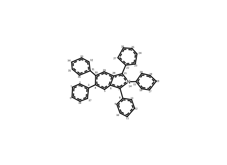 c1ccc(-c2cc3c(-c4ccccc4)n(-c4ccccc4)c(-c4ccccc4)c3cc2-c2ccccc2)cc1